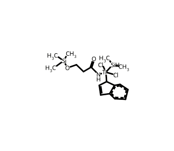 C[SiH](C)[Ti]([Cl])([Cl])([NH]C(=O)CCO[Si](C)(C)C)[CH]1C=Cc2ccccc21